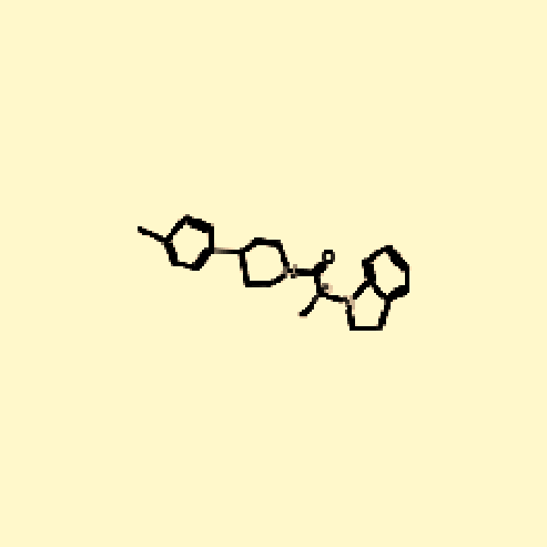 Cc1ccc(C2CCN(C(=O)[C@H](C)N3CCc4ccccc43)CC2)cc1